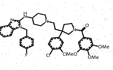 COc1cc(C(=O)N2CCC(CCN3CCC(Nc4nc5ccccc5n4Cc4ccc(F)cc4)CC3)(c3ccc(Cl)c(Cl)c3)C2)cc(OC)c1OC